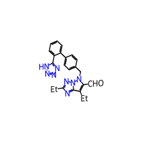 CCc1nc2c(CC)c(C=O)n(Cc3ccc(-c4ccccc4-c4nnn[nH]4)cc3)n2n1